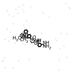 CC(C)(C)NS(=O)(=O)c1ccccc1-c1ccc(N2CCCC(NS(=O)(=O)c3cccc(C(=N)N)c3)C2=O)cc1